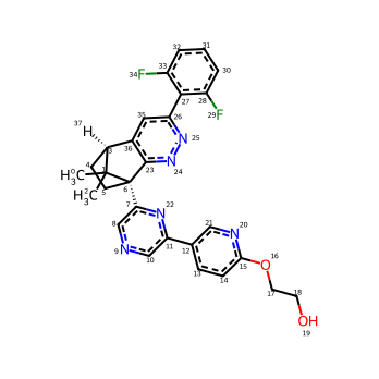 CC1(C)[C@H]2CC[C@]1(c1cncc(-c3ccc(OCCO)nc3)n1)c1nnc(-c3c(F)cccc3F)cc12